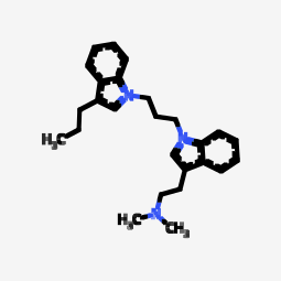 CCCc1cn(CCCn2cc(CCN(C)C)c3ccccc32)c2ccccc12